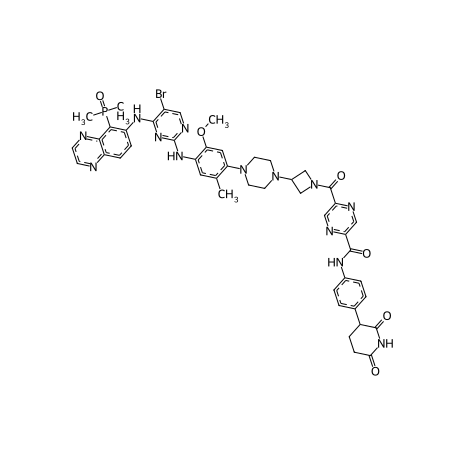 COc1cc(N2CCN(C3CN(C(=O)c4cnc(C(=O)Nc5ccc(C6CCC(=O)NC6=O)cc5)cn4)C3)CC2)c(C)cc1Nc1ncc(Br)c(Nc2ccc3nccnc3c2P(C)(C)=O)n1